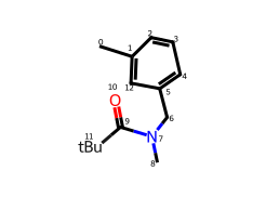 Cc1cccc(CN(C)C(=O)C(C)(C)C)c1